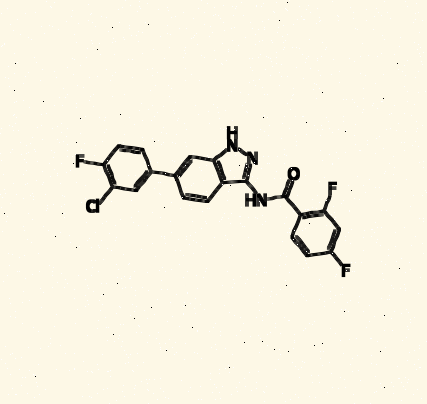 O=C(Nc1n[nH]c2cc(-c3ccc(F)c(Cl)c3)ccc12)c1ccc(F)cc1F